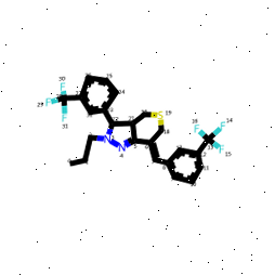 CCCN1N=C2C(=Cc3cccc(C(F)(F)F)c3)CSCC2C1c1cccc(C(F)(F)F)c1